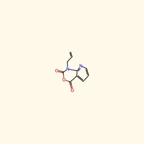 C=CCn1c(=O)oc(=O)c2cccnc21